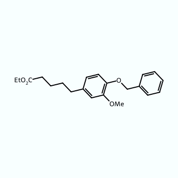 CCOC(=O)CCCCc1ccc(OCc2ccccc2)c(OC)c1